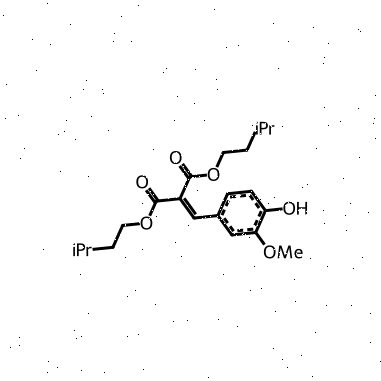 COc1cc(C=C(C(=O)OCCC(C)C)C(=O)OCCC(C)C)ccc1O